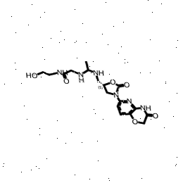 CC(NCC(=O)NCCO)NC[C@H]1CN(c2ccc3c(n2)NC(=O)CO3)C(=O)O1